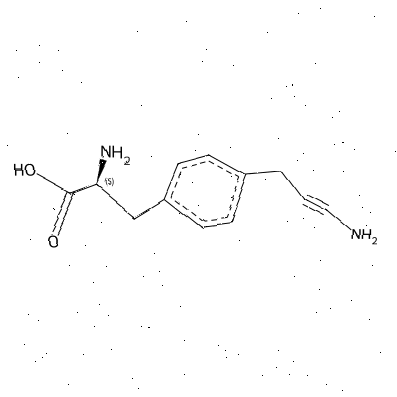 NC#CCc1ccc(C[C@H](N)C(=O)O)cc1